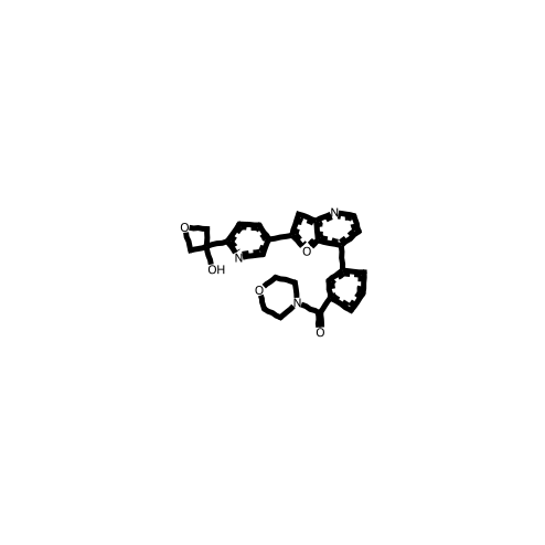 O=C(c1cccc(-c2ccnc3cc(-c4ccc(C5(O)COC5)nc4)oc23)c1)N1CCOCC1